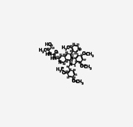 COc1ccc(CN(Cc2ccc(OC)cc2OC)c2nc(-c3cnccc3C)cc3cc(NC(=O)NC(C)CO)ncc23)c(OC)c1